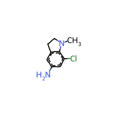 CN1CCc2cc(N)cc(Cl)c21